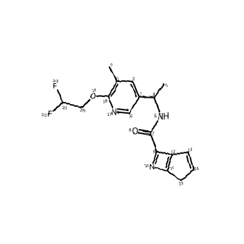 Cc1cc(C(C)NC(=O)C2=NC3=C2C=CC3)cnc1OCC(F)F